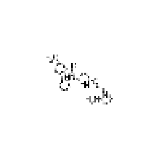 Nc1ccnn1CCOc1ccc(NC(=O)c2cc(C(F)(F)F)ccc2-c2ccccc2)cn1